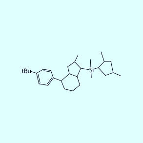 CC1CC(C)C([Si](C)(C)C2C(C)CC3C(c4ccc(C(C)(C)C)cc4)CCCC32)C1